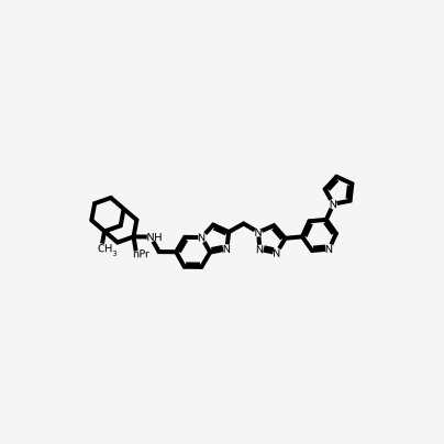 CCCC1(NCc2ccc3nc(Cn4cc(-c5cncc(-n6cccc6)c5)nn4)cn3c2)CC2CCCC(C)(C2)C1